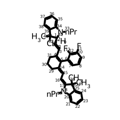 [2H]C1(/C=C/C2=C(c3cccc(F)c3F)C(=C/C=C3/N(CCC)c4ccccc4C3(C)C)/CCC2)N(CCC)c2ccccc2C1(C)C